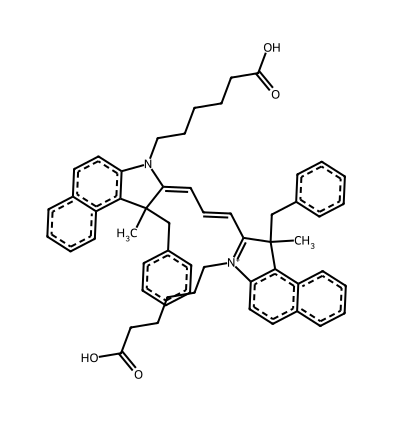 CC1(Cc2ccccc2)C(/C=C/C=C2/N(CCCCCC(=O)O)c3ccc4ccccc4c3C2(C)Cc2ccccc2)=[N+](CCCCCC(=O)O)c2ccc3ccccc3c21